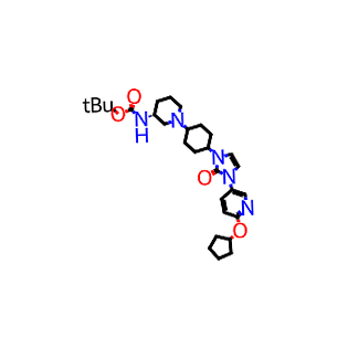 CC(C)(C)OC(=O)N[C@@H]1CCCN(C2CCC(n3ccn(-c4ccc(OC5CCCC5)nc4)c3=O)CC2)C1